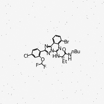 CCCCNC(=O)[C@H](CC)Nc1nc2c(Br)cccc2c2nc(-c3ccc(Cl)cc3OC(F)F)nn12